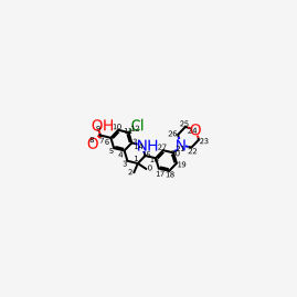 CC1(C)Cc2cc(C(=O)O)cc(Cl)c2NC1c1cccc(N2CCOCC2)c1